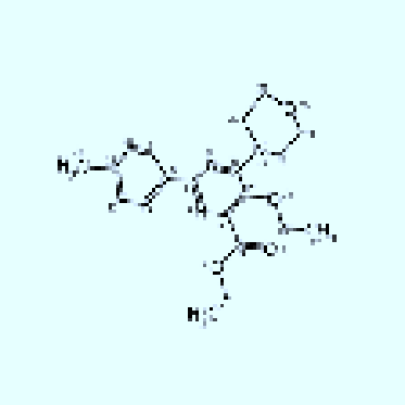 CCOC(=O)c1nc(-c2ccc(N)cc2)nc(N2CCOCC2)c1OCC